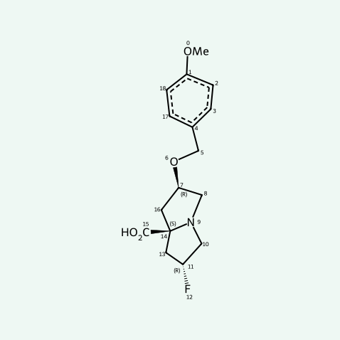 COc1ccc(CO[C@H]2CN3C[C@H](F)C[C@]3(C(=O)O)C2)cc1